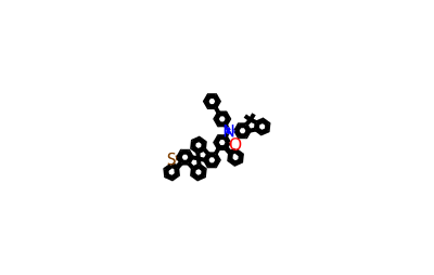 CC1(C)c2ccccc2-c2ccc(N(c3ccc(-c4ccccc4)cc3)c3ccc(-c4cccc5c4-c4ccccc4C54c5ccccc5-c5c4ccc4sc6ccccc6c54)c4c3oc3ccccc34)cc21